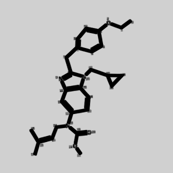 CCOc1ccc(Cc2nc3cc(N(CC=C(C)C)C(=O)OC)ccc3n2CC2CC2)cc1